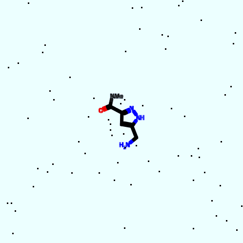 CNC(=O)c1cc(CN)[nH]n1